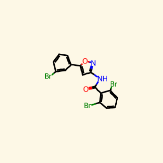 O=C(Nc1cc(-c2cccc(Br)c2)on1)c1c(Br)cccc1Br